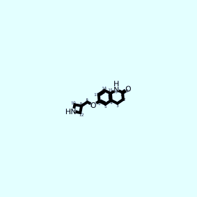 O=C1CCc2cc(OCC3CNC3)ccc2N1